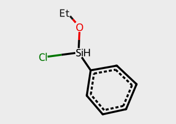 CCO[SiH](Cl)c1ccccc1